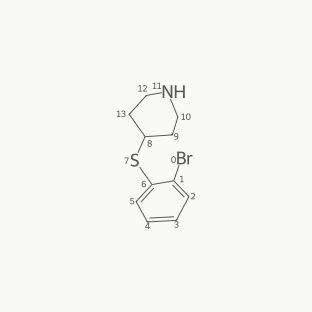 Brc1ccccc1SC1CCNCC1